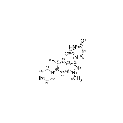 Cn1nc(-n2ccc(=O)[nH]c2=O)c2cc(F)c(N3CCNCC3)cc21